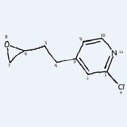 Clc1cc(CCC2CO2)ccn1